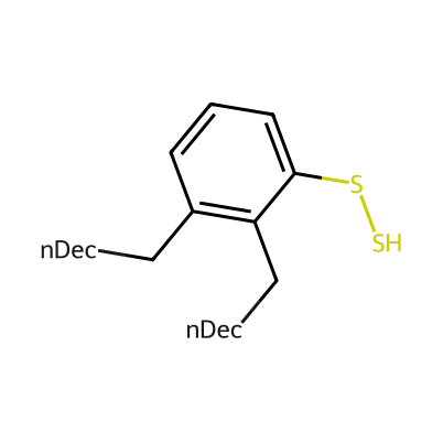 CCCCCCCCCCCc1cccc(SS)c1CCCCCCCCCCC